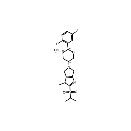 CC(C)S(=O)(=O)c1nc2c(n1C)CN([C@H]1CO[C@H](c3cc(F)ccc3F)[C@@H](N)C1)C2